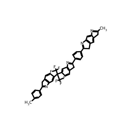 CC1=Nc2cc3c(cc2C1)CC(c1ccc(C2=Nc4cc(C(c5ccc6c(c5)N=C(c5ccc(C)cc5)C6)(C(F)(F)F)C(F)(F)F)ccc4C2)cc1)=N3